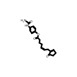 NC(=O)Nc1ccc(OC(=O)CCC/C=C\CC2=CCCC2=O)cc1